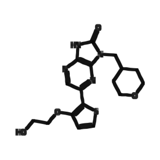 O=c1[nH]c2ncc(-c3sccc3OCCO)nc2n1CC1CCOCC1